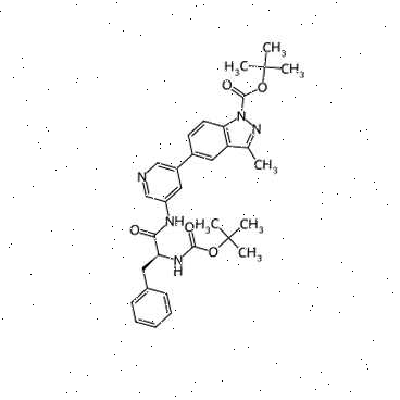 Cc1nn(C(=O)OC(C)(C)C)c2ccc(-c3cncc(NC(=O)[C@H](Cc4ccccc4)NC(=O)OC(C)(C)C)c3)cc12